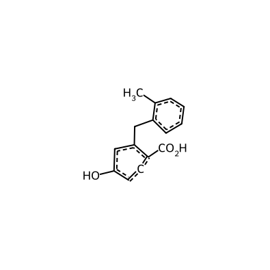 Cc1ccccc1Cc1cc(O)ccc1C(=O)O